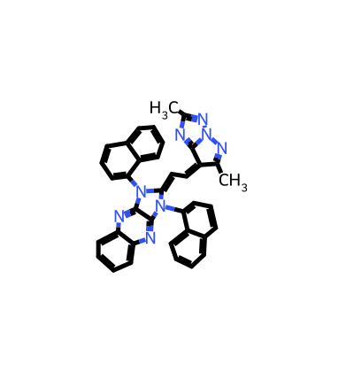 Cc1nc2/c(=C\C=C3N(c4cccc5ccccc45)c4nc5ccccc5nc4N3c3cccc4ccccc34)c(C)nn2n1